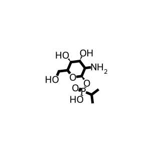 CC(C)P(=O)(O)O[C@H]1OC(CO)[C@H](O)[C@H](O)C1N